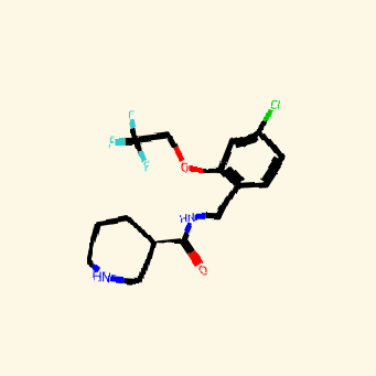 O=C(NCc1ccc(Cl)cc1OCC(F)(F)F)[C@@H]1CCCNC1